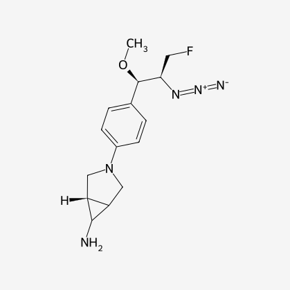 CO[C@H](c1ccc(N2CC3C(N)[C@@H]3C2)cc1)[C@@H](CF)N=[N+]=[N-]